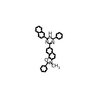 CN1c2ccc3cc(C4=NC(c5ccccc5)NC(c5ccc6ccccc6c5)=N4)ccc3c2OC1c1ccccc1